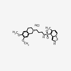 COc1cc2c(cc1OC)CN(CCCNS(=O)(=O)C1=C(C)C=CN3SNC=C13)CC2.Cl